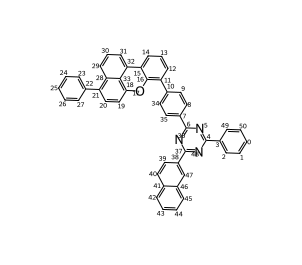 c1ccc(-c2nc(-c3ccc(-c4cccc5c4Oc4ccc(-c6ccccc6)c6cccc-5c46)cc3)nc(-c3ccc4ccccc4c3)n2)cc1